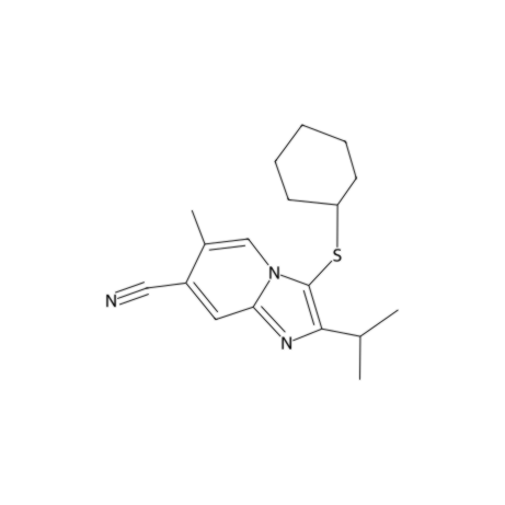 Cc1cn2c(SC3CCCCC3)c(C(C)C)nc2cc1C#N